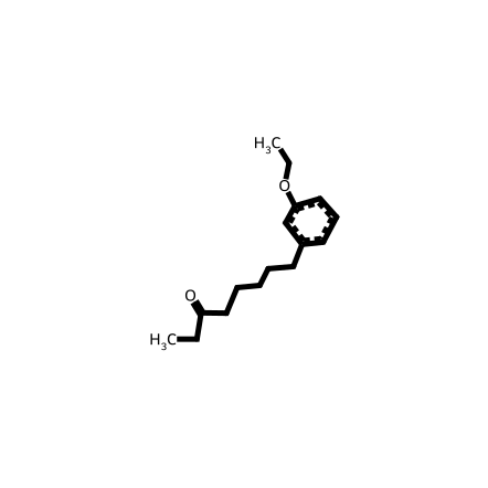 CCOc1cccc(CCCCCC(=O)CC)c1